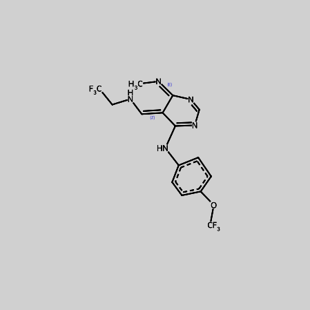 C/N=C1/N=CN=C(Nc2ccc(OC(F)(F)F)cc2)/C1=C/NCC(F)(F)F